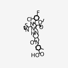 CCOC(=O)C1=C(CN2CCC3C(=O)N(c4ccc(C(=O)O)c(C)c4)CC3C2)NC(c2nccs2)=N[C@H]1c1ccc(F)cc1Cl